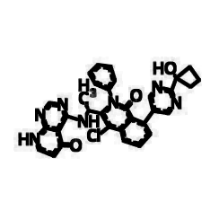 C[C@H](Nc1ncnc2[nH]ccc(=O)c12)c1c(Cl)c2cccc(-c3cnc(C4(O)CCC4)nc3)c2c(=O)n1-c1ccccc1